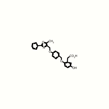 Cc1oc(-c2ccccc2)nc1COc1ccc(COc2ccc(O)cc2CC(=O)O)cc1